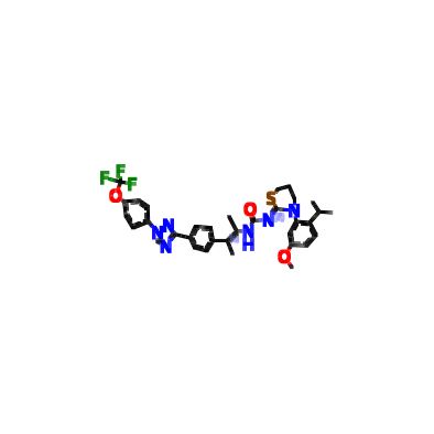 COc1ccc(C(C)C)c(N2CCCS/C2=N\C(=O)N/C(C)=C(\C)c2ccc(-c3ncn(-c4ccc(OC(F)(F)F)cc4)n3)cc2)c1